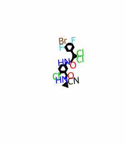 N#CC1(NC(=O)c2cc(NC(=O)C3C(c4cc(F)c(Br)c(F)c4)C3(Cl)Cl)ccc2Cl)CC1